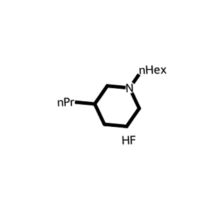 CCCCCCN1CCCC(CCC)C1.F